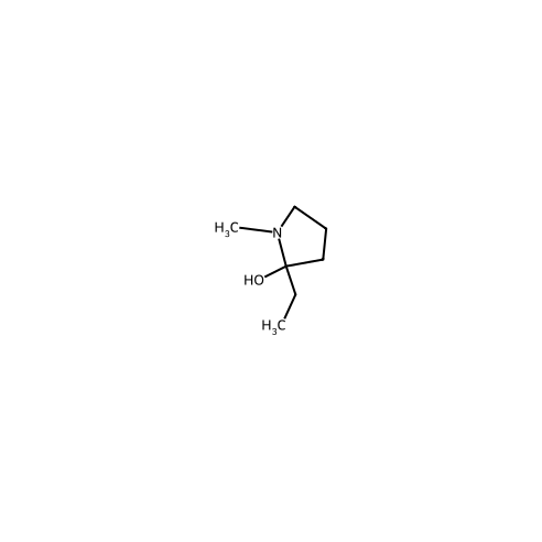 CCC1(O)CCCN1C